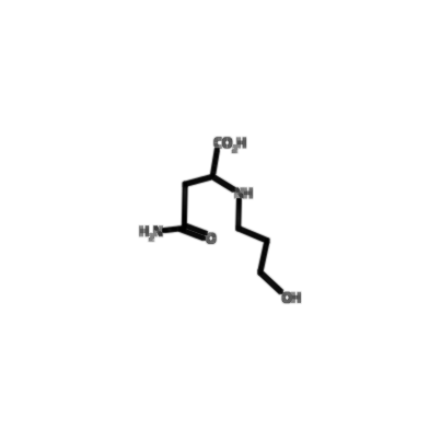 NC(=O)CC(NCCCO)C(=O)O